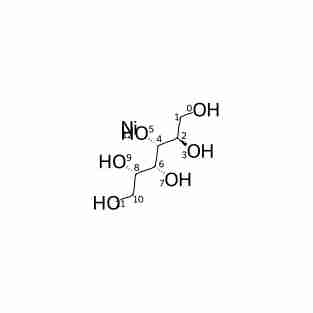 OC[C@@H](O)[C@@H](O)[C@H](O)[C@@H](O)CO.[Ni]